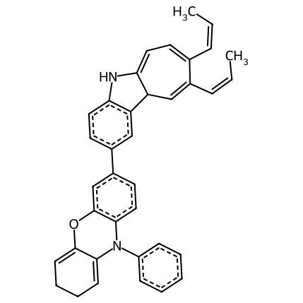 C/C=C\C1=CC=C2Nc3ccc(-c4ccc5c(c4)OC4=CCCC=C4N5c4ccccc4)cc3C2C=C1/C=C\C